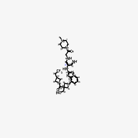 CN1CCN(C(=O)CN/C=C(\C=N)Nc2nc3c(N4CC(CC#N)(C(=O)N5CC(CC(F)(F)F)C5)C4)cccn3n2)CC1